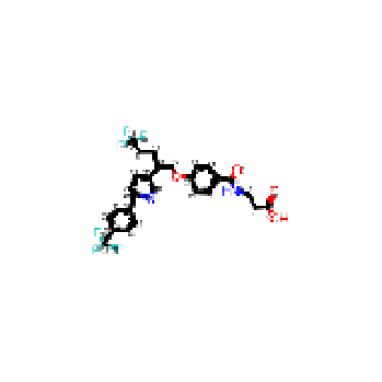 O=C(O)CCNC(=O)c1ccc(OCC(CCC(F)(F)F)c2ccc(-c3ccc(C(F)(F)F)cc3)nc2)cc1